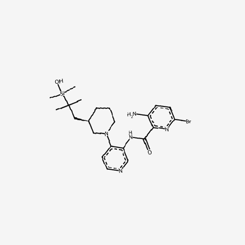 CC(C)(C[C@H]1CCCN(c2ccncc2NC(=O)c2nc(Br)ccc2N)C1)[Si](C)(C)O